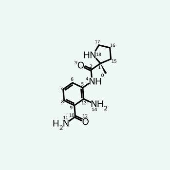 C[C@]1(C(=O)Nc2cccc(C(N)=O)c2N)CCCN1